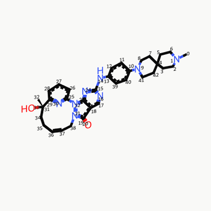 CN1CCC2(CC1)CCN(c1ccc(Nc3ncc4c(=O)n5n(c4n3)-c3cccc(n3)[C@@](C)(O)CC/C=C\C5)cc1)CC2